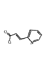 O=C(Cl)C=Cc1ccccn1